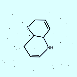 C1=CC2NC=CCC2SC1